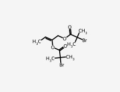 CC=C(COC(=O)C(C)(C)Br)OC(=O)C(C)(C)Br